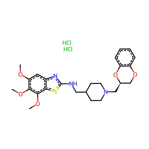 COc1cc2nc(NCC3CCN(C[C@@H]4COc5ccccc5O4)CC3)sc2c(OC)c1OC.Cl.Cl